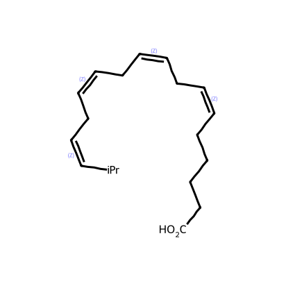 CC(C)/C=C\C/C=C\C/C=C\C/C=C\CCCCC(=O)O